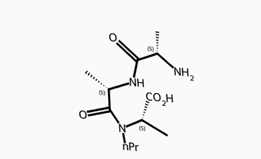 CCCN(C(=O)[C@H](C)NC(=O)[C@H](C)N)[C@@H](C)C(=O)O